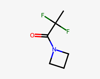 CC(F)(F)C(=O)N1CCC1